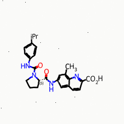 Cc1cc(NC(=O)[C@@H]2CCCN2C(=O)Nc2ccc(C(C)C)cc2)cc2ccc(C(=O)O)nc12